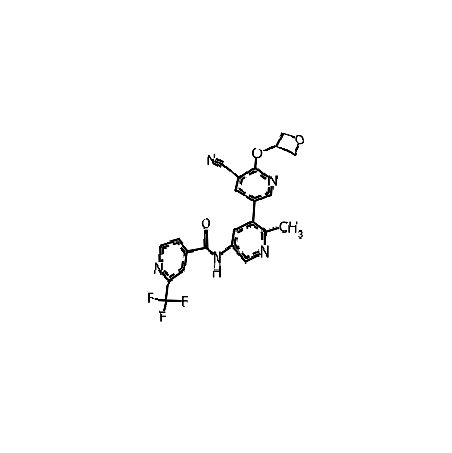 Cc1ncc(NC(=O)c2ccnc(C(F)(F)F)c2)cc1-c1cnc(OC2COC2)c(C#N)c1